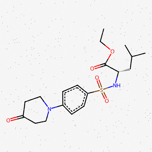 CCOC(=O)[C@H](CC(C)C)NS(=O)(=O)c1ccc(N2CCC(=O)CC2)cc1